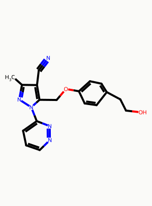 Cc1nn(-c2cccnn2)c(COc2ccc(CCO)cc2)c1C#N